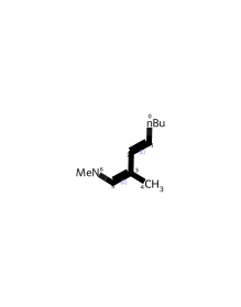 CCCC/C=C/C(C)=C\NC